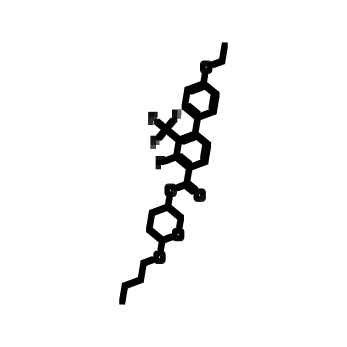 CCCCOC1CCC(OC(=O)c2ccc(-c3ccc(OCC)cc3)c(C(F)(F)F)c2F)CO1